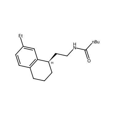 CCCCC(=O)NCC[C@H]1CCCc2ccc(CC)cc21